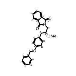 CO[C@@H](Cc1ccc(OCc2ccccc2)cc1)CN1C(=O)c2ccccc2C1=O